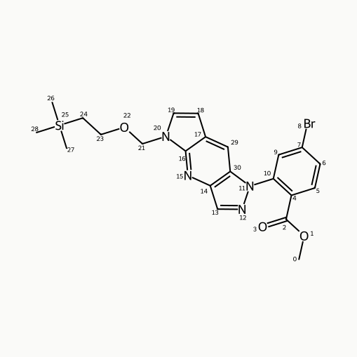 COC(=O)c1ccc(Br)cc1-n1ncc2nc3c(ccn3COCC[Si](C)(C)C)cc21